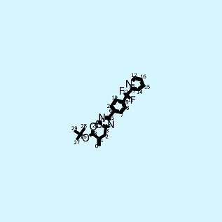 C=C(Cc1nc(-c2ccc(C(F)(F)c3ccccn3)cc2)no1)C(=O)OC(C)(C)C